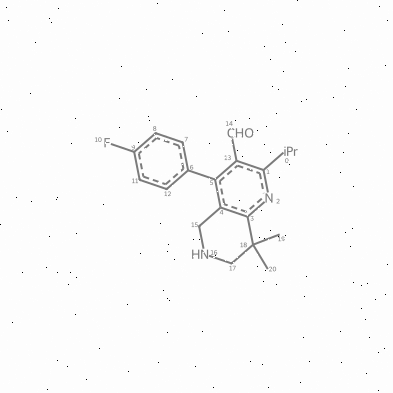 CC(C)c1nc2c(c(-c3ccc(F)cc3)c1C=O)CNCC2(C)C